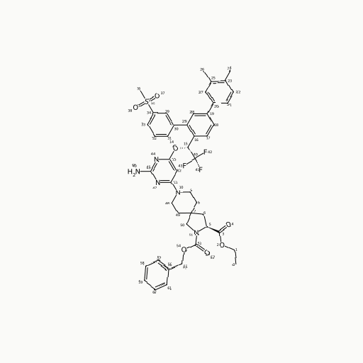 CCOC(=O)[C@@H]1CC2(CCN(c3cc(O[C@H](c4ccc(-c5ccc(C)c(C)c5)cc4-c4cccc(S(C)(=O)=O)c4)C(F)(F)F)nc(N)n3)CC2)CN1C(=O)OCc1ccccc1